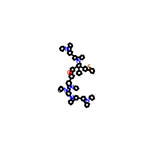 c1ccc(-c2c(-c3ccc4c(c3)sc3ccccc34)cc(-n3c4ccccc4c4cc(-c5ccc6c(c5)c5ccccc5n6-c5ccccc5)ccc43)cc2-c2ccc3oc4cc(-c5ccc6c(c5)n(-c5ccccc5)c5c7cc(-n8c9ccccc9c9cc(-c%10ccc%11c(c%10)c%10ccccc%10n%11-c%10ccccc%10)ccc98)ccc7n(-c7ccccc7)c65)ccc4c3c2)cc1